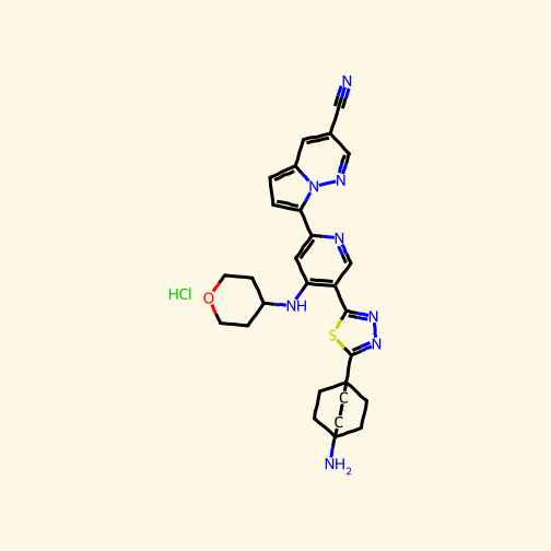 Cl.N#Cc1cnn2c(-c3cc(NC4CCOCC4)c(-c4nnc(C56CCC(N)(CC5)CC6)s4)cn3)ccc2c1